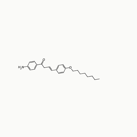 CCCCCCCCOc1ccc(C=CCC(=O)c2ccc(N)cc2)cc1